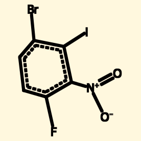 O=[N+]([O-])c1c(F)ccc(Br)c1I